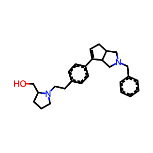 OCC1CCCN1CCc1ccc(C2=CCC3CN(Cc4ccccc4)CC23)cc1